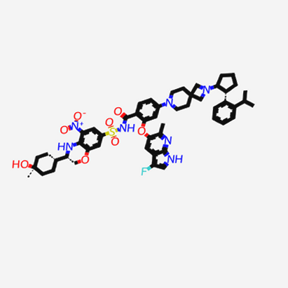 Cc1nc2[nH]cc(F)c2cc1Oc1cc(N2CCC3(CC2)CN(C2CCC[C@@H]2c2ccccc2C(C)C)C3)ccc1C(=O)NS(=O)(=O)c1cc2c(c([N+](=O)[O-])c1)N[C@@H]([C@H]1CC[C@](C)(O)CC1)CO2